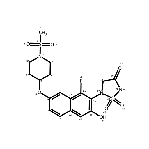 CS(=O)(=O)N1CCC(Oc2ccc3cc(O)c(N4CC(=O)NS4(=O)=O)c(F)c3c2)CC1